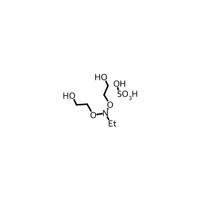 CCN(OCCO)OCCO.O=S(=O)(O)O